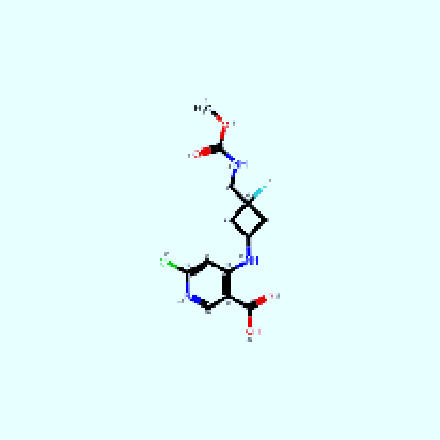 COC(=O)NCC1(F)CC(Nc2cc(Cl)ncc2C(=O)O)C1